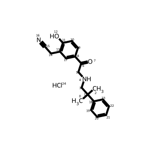 CC(C)(CNCC(=O)c1ccc(O)c(CC#N)c1)c1ccccc1.Cl